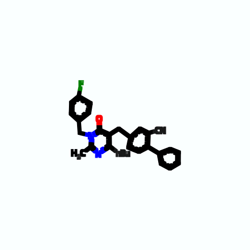 CCCCc1nc(C)n(Cc2ccc(F)cc2)c(=O)c1Cc1ccc(-c2ccccc2)c(C#N)c1